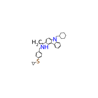 C=C(NCc1ccc(SC2CC2)cc1)c1ccc2c(c1)c1ccccc1n2CC1CCCCC1